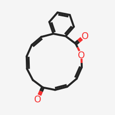 O=C1C=CC=COC(=O)c2ccccc2C=CC=CC1